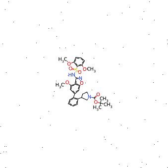 COc1cccc(OC)c1S(=O)(=O)Nc1noc2cc(-c3ccccc3C3CCN(C(=O)OC(C)(C)C)C3)cc(OC)c12